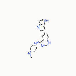 CN(C)[C@H]1CC[C@H](Nc2ncnc3ccc(-c4cnc5cc[nH]c5c4)cc23)CC1